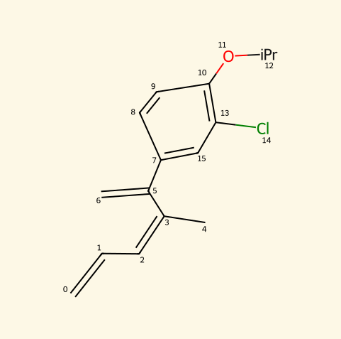 C=C/C=C(/C)C(=C)c1ccc(OC(C)C)c(Cl)c1